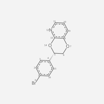 Brc1ccc([C@H]2COc3cccnc3O2)cc1